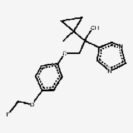 CC1(C(O)(COc2ccc(OCF)cc2)c2cncnc2)CC1